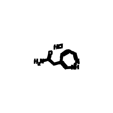 Cl.NC(=O)CC1=CNN=CC=C1